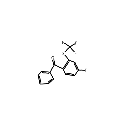 O=C(c1ccccc1)c1ccc(F)cc1SC(F)(F)F